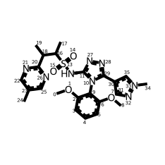 COc1cccc(OC)c1-n1c(NS(=O)(=O)C(C)C(C)c2ncc(C)cn2)nnc1-c1cnn(C)c1